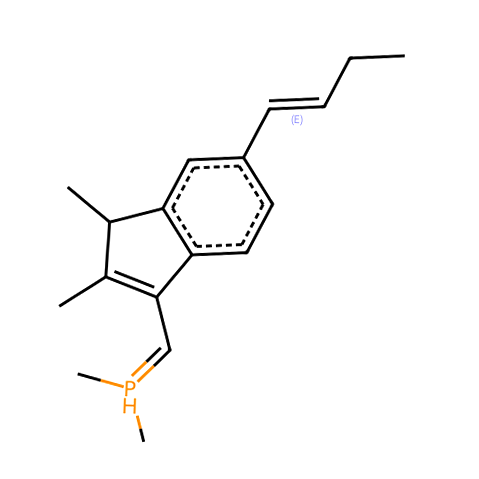 CC/C=C/c1ccc2c(c1)C(C)C(C)=C2C=[PH](C)C